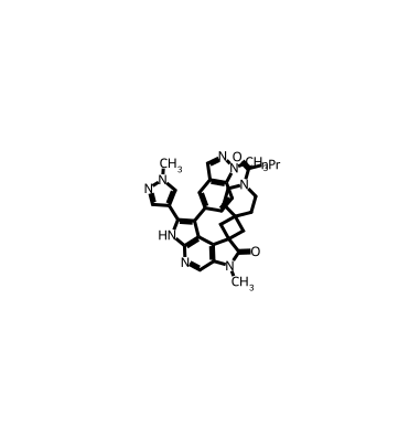 CCCC(=O)N1CCC2(CC1)CC1(C2)C(=O)N(C)c2cnc3[nH]c(-c4cnn(C)c4)c(-c4ccc5c(cnn5C)c4)c3c21